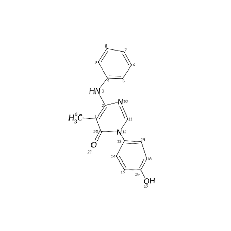 Cc1c(Nc2ccccc2)ncn(-c2ccc(O)cc2)c1=O